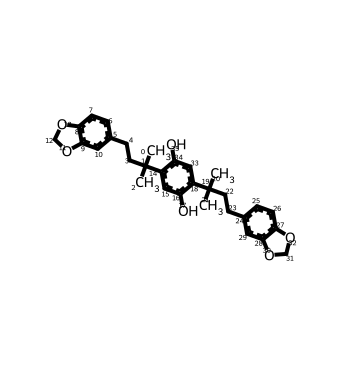 CC(C)(CCc1ccc2c(c1)OCO2)c1cc(O)c(C(C)(C)CCc2ccc3c(c2)OCO3)cc1O